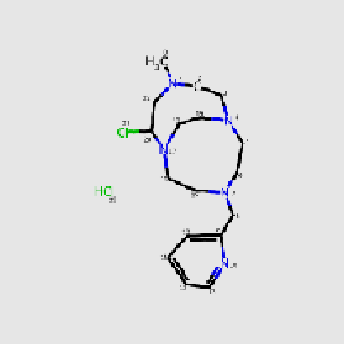 CN1CCN2CCN(Cc3ccccn3)CCN(CC2)C(Cl)C1.Cl